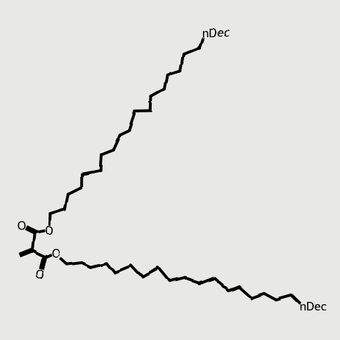 C=C(C(=O)OCCCCCCCCCCCCCCCCCCCCCCCCCCCC)C(=O)OCCCCCCCCCCCCCCCCCCCCCCCCCCCC